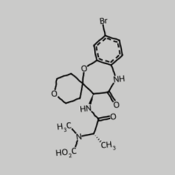 C[C@@H](C(=O)N[C@@H]1C(=O)Nc2ccc(Br)cc2OC12CCOCC2)N(C)C(=O)O